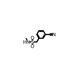 CNS(=O)(=O)Cc1cccc(C#N)c1